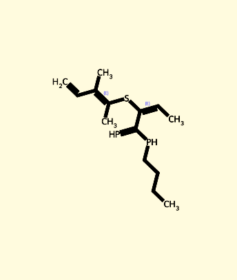 C=C/C(C)=C(\C)S/C(=C/C)C(=P)PCCCC